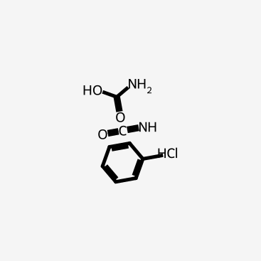 Cc1ccccc1.Cl.N=C=O.NC(=O)O